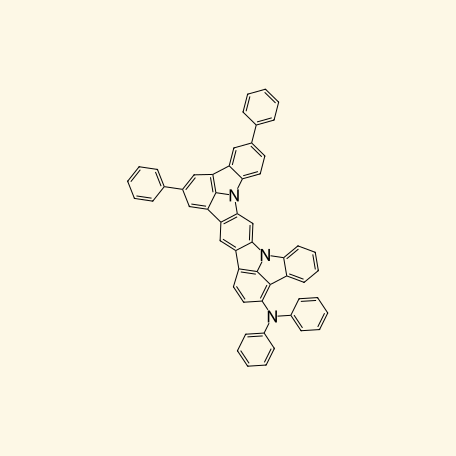 c1ccc(-c2ccc3c(c2)c2cc(-c4ccccc4)cc4c5cc6c7ccc(N(c8ccccc8)c8ccccc8)c8c9ccccc9n(c6cc5n3c24)c78)cc1